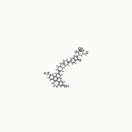 CNC(=O)C(CCC=O)N1Cc2cc(N3CCN(CC4CCN(c5ccc(C6=C(c7ccc(C)cc7)CCCc7cc(O)ccc76)cc5)CC4)CC3)ccc2C1=O